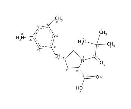 CC(C)(C)C(=O)N1CCC[C@H]1C(=O)O.Cc1cc(C)cc(N)c1